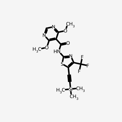 COc1ncnc(OC)c1C(=O)Nc1nc(C(F)(F)F)c(C#C[Si](C)(C)C)s1